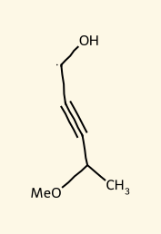 COC(C)C#C[CH]O